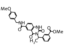 COC(=O)c1cccc(C(C)n2c(=O)[nH]c3ccc(C(=O)NCc4ccc(OC)cc4)cc3c2=O)c1